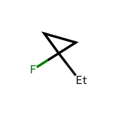 CCC1(F)CC1